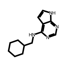 c1nc(NCC2CCCCC2)c2cc[nH]c2n1